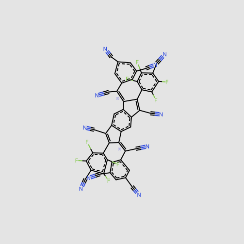 N#CC1=C(c2c(F)c(F)c(C#N)c(F)c2F)/C(=C(/C#N)c2cc(C#N)cc(C#N)c2)c2cc3c(cc21)/C(=C(\C#N)c1cc(C#N)cc(C#N)c1)C(c1c(F)c(F)c(C#N)c(F)c1F)=C3C#N